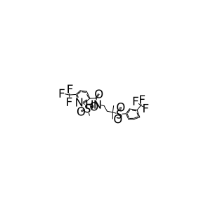 CC(C)(CCNC(=O)c1ccc(C(F)(F)F)nc1S(C)(=O)=O)S(=O)(=O)c1cccc(C(F)(F)F)c1